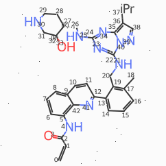 C=CC(=O)Nc1cccc2ccc(-c3cccc(C)c3CNc3nc(NC[C@H]4CCNC[C@@H]4O)nc4c(C(C)C)cnn34)nc12